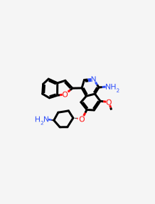 COc1cc(O[C@H]2CC[C@H](N)CC2)cc2c(-c3cc4ccccc4o3)cnc(N)c12